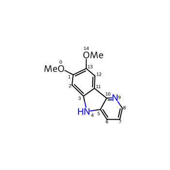 COc1cc2[nH]c3cccnc3c2cc1OC